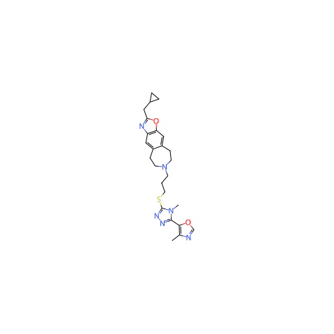 Cc1ncoc1-c1nnc(SCCCN2CCc3cc4nc(CC5CC5)oc4cc3CC2)n1C